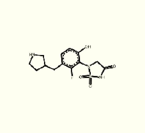 O=C1CN(c2c(O)ccc(CC3CCNC3)c2F)S(=O)(=O)N1